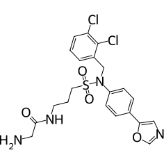 NCC(=O)NCCCS(=O)(=O)N(Cc1cccc(Cl)c1Cl)c1ccc(-c2cnco2)cc1